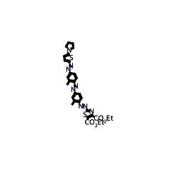 CCOC(=O)c1nc(/N=N/c2ccc(/N=N/c3ccc(/N=N/c4ccc(N5CCCC5)s4)cc3C)cc2C)sc1C(=O)OCC